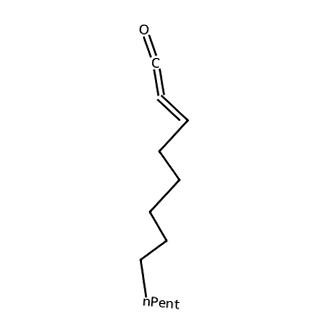 C[CH]CCCCCCCCC=C=C=O